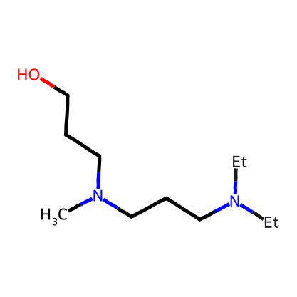 CCN(CC)CCCN(C)CCCO